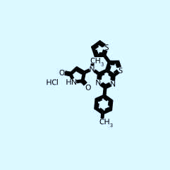 Cc1ccc(-c2nc(N(C)C3=CC(=O)NC3=O)c3c(-c4cccs4)csc3n2)cc1.Cl